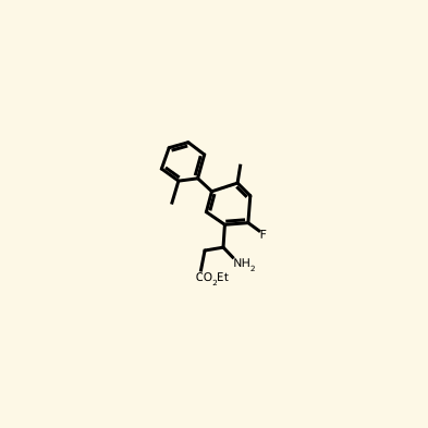 CCOC(=O)CC(N)c1cc(-c2ccccc2C)c(C)cc1F